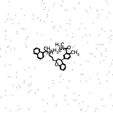 Cc1ccc([C@@H]2C[C@H](CCCN[C@H](C)c3cccc4ccccc34)Oc3ccccc32)cc1C(=O)N(C)C